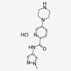 Cl.Cn1cc(NC(=O)c2ccc(N3CCNCC3)cn2)cn1